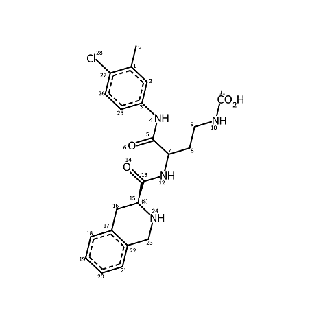 Cc1cc(NC(=O)C(CCNC(=O)O)NC(=O)[C@@H]2Cc3ccccc3CN2)ccc1Cl